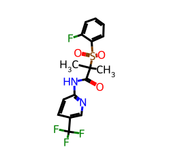 CC(C)(C(=O)Nc1ccc(C(F)(F)F)cn1)S(=O)(=O)c1ccccc1F